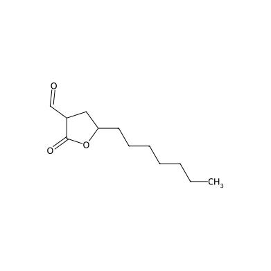 CCCCCCCC1CC(C=O)C(=O)O1